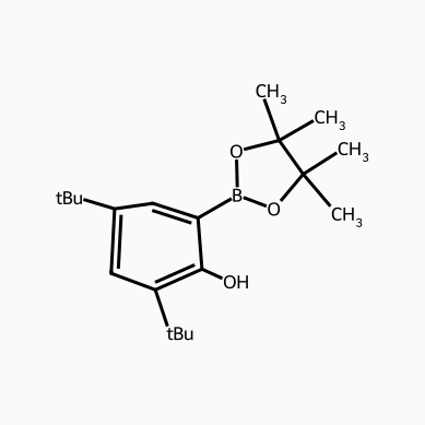 CC(C)(C)c1cc(B2OC(C)(C)C(C)(C)O2)c(O)c(C(C)(C)C)c1